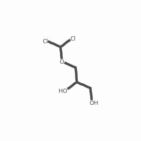 OCC(O)COC(Cl)Cl